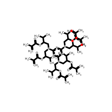 C=C(C)C(=O)OC(CN(CC(OC(=O)C(=C)C)C(C)C)c1nc(N(CC(OC(=O)C(=C)C)C(C)C)CC(OC(=O)C(=C)C)C(C)C)nc(N(CC(OC(=O)C(=C)C)C(C)C)CC(OC(=O)C(=C)C)C(C)C)n1)C(C)C